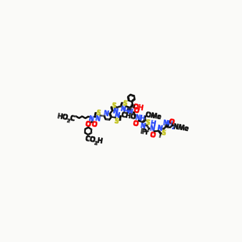 CNC(=O)C[C@H](N)c1nc(C(=O)NC(c2nc(C(=O)NCC(=O)N[C@H](c3nc(-c4nc(-c5nc(-c6nc(N(CCCCCC(=O)O)C(=O)O[C@H]7CC[C@H](C(=O)O)CC7)cs6)ccc5-c5nc(C=O)cs5)cs4)cs3)[C@@H](O)c3ccccc3)c(COC)s2)C(C)C)c(C)s1